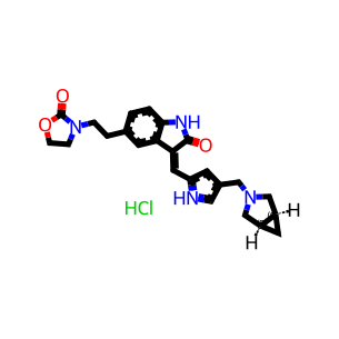 Cl.O=C1Nc2ccc(CCN3CCOC3=O)cc2C1=Cc1cc(CN2C[C@H]3C[C@H]3C2)c[nH]1